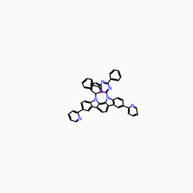 C1=CCC(n2c3ccc(-c4ccccn4)cc3c3ccc4c5cc(-c6ccccn6)ccc5n(-c5nc(-c6ccccc6)nc(-c6ccccc6)n5)c4c32)C=C1